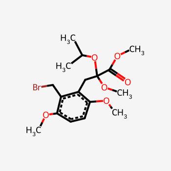 COC(=O)C(Cc1c(OC)ccc(OC)c1CBr)(OC)OC(C)C